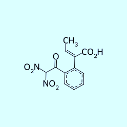 CC=C(C(=O)O)c1ccccc1C(=O)C([N+](=O)[O-])[N+](=O)[O-]